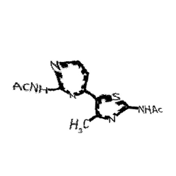 CC(=O)Nc1nccc(-c2sc(NC(C)=O)nc2C)n1